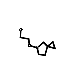 [O]CCON1CCC2(CC2)C1